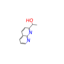 CC(O)c1ccc2cccnc2n1